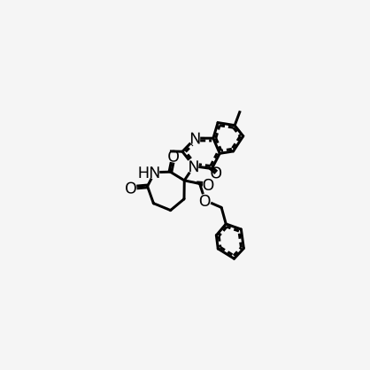 Cc1ccc2c(=O)n(C3(C(=O)OCc4ccccc4)CCCC(=O)NC3=O)c(C)nc2c1